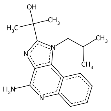 CC(C)Cn1c(C(C)(C)O)nc2c(N)nc3ccccc3c21